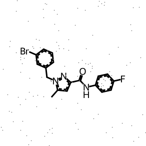 Cc1cc(C(=O)Nc2ccc(F)cc2)nn1Cc1cccc(Br)c1